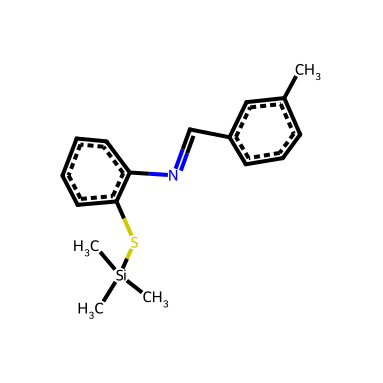 Cc1cccc(/C=N/c2ccccc2S[Si](C)(C)C)c1